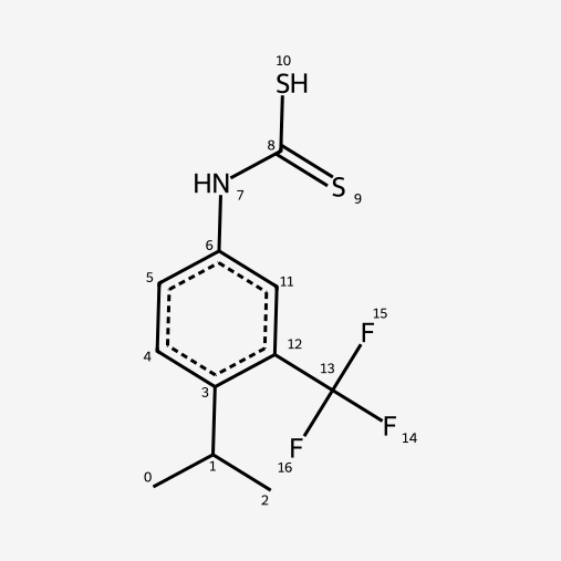 CC(C)c1ccc(NC(=S)S)cc1C(F)(F)F